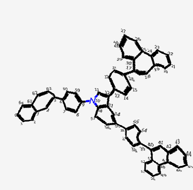 c1ccc2cc(-c3ccc(-n4cc(-c5ccc(-c6cc7ccccc7c7ccccc67)cc5)c5cc(-c6ccc(-c7cc8ccccc8c8ccccc78)cc6)ccc54)cc3)ccc2c1